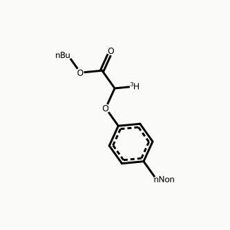 [3H]C(Oc1ccc(CCCCCCCCC)cc1)C(=O)OCCCC